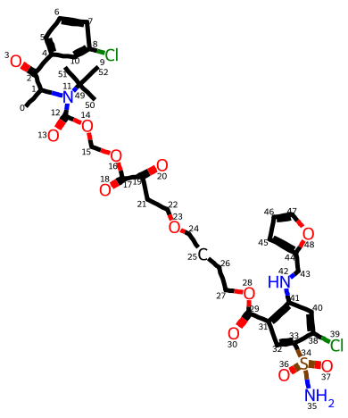 CC(C(=O)c1cccc(Cl)c1)N(C(=O)OCOC(=O)C(=O)CCOCCCCOC(=O)c1cc(S(N)(=O)=O)c(Cl)cc1NCc1ccco1)C(C)(C)C